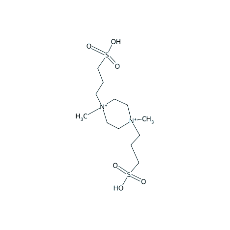 C[N+]1(CCCS(=O)(=O)O)CC[N+](C)(CCCS(=O)(=O)O)CC1